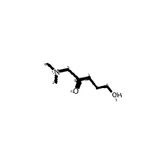 CN(C)CC(=O)CCCO